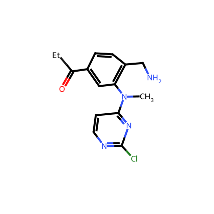 CCC(=O)c1ccc(CN)c(N(C)c2ccnc(Cl)n2)c1